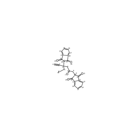 N#CC(CF)(CC(=O)CN1C(=O)c2ccccc2C1=O)N1C(=O)c2ccccc2C1=O